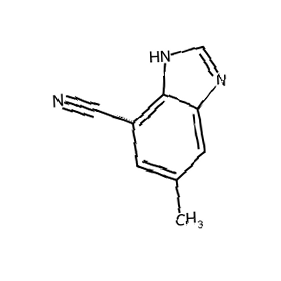 Cc1cc(C#N)c2[nH]cnc2c1